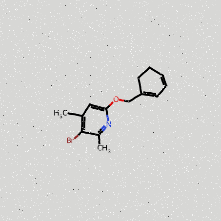 Cc1cc(OCC2=CC=CCC2)nc(C)c1Br